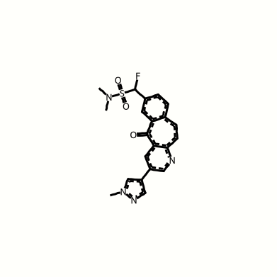 CN(C)S(=O)(=O)C(F)c1ccc2ccc3ncc(-c4cnn(C)c4)cc3c(=O)c2c1